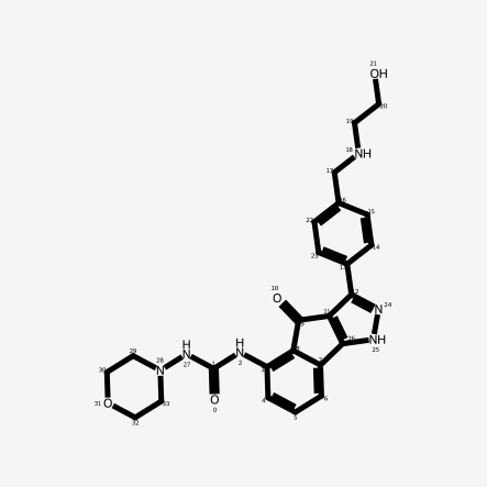 O=C(Nc1cccc2c1C(=O)c1c(-c3ccc(CNCCO)cc3)n[nH]c1-2)NN1CCOCC1